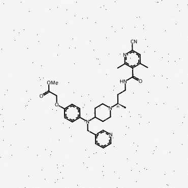 COC(=O)COc1ccc(N(Cc2cccnc2)C2CCN([C@H](C)CCNC(=O)c3c(C)cc(C#N)nc3C)CC2)cc1